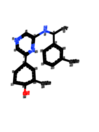 CCCC(Nc1cncc(-c2ccc(O)c(OC)c2)n1)c1cccc(OC)c1